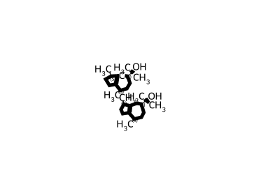 C[C@H]1CC[C@@H](C(C)(C)O)CC2=C1CC[C@@H]2C.C[C@H]1CC[C@@H](C(C)(C)O)CC2=C1CC[C@@H]2C